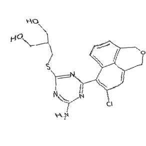 Nc1nc(SCC(CO)CO)nc(-c2c(Cl)cc3c4c(cccc24)COC3)n1